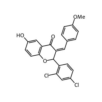 COc1ccc(C=C2C(=O)c3cc(O)ccc3OC2c2ccc(Cl)cc2Cl)cc1